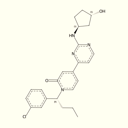 CCC[C@H](c1cccc(Cl)c1)n1ccc(-c2ccnc(N[C@H]3CC[C@H](O)C3)n2)cc1=O